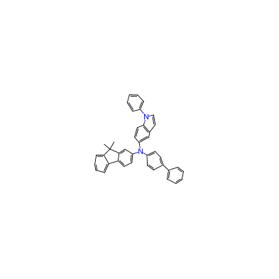 CC1(C)c2ccccc2-c2ccc(N(c3ccc(-c4ccccc4)cc3)c3ccc4c(ccn4-c4ccccc4)c3)cc21